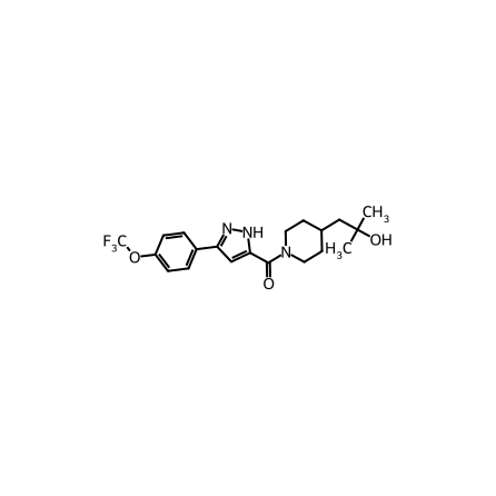 CC(C)(O)CC1CCN(C(=O)c2cc(-c3ccc(OC(F)(F)F)cc3)n[nH]2)CC1